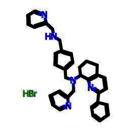 Br.c1ccc(-c2ccc3c(n2)C(N(Cc2ccc(CNCc4ccccn4)cc2)Cc2ccccn2)CCC3)cc1